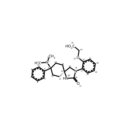 CN(C)[C@]1(c2ccccc2)CC[C@]2(CC1)CN(c1ccccc1OCC(=O)O)C(=O)N2